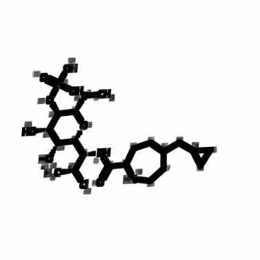 CS[C@H]1O[C@H]([C@H](NC(=O)C2CCC(CC3CC3)CCN2)[C@H](C)Cl)[C@H](O)[C@H](O)[C@H]1OP(=O)(O)O